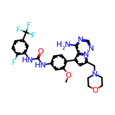 COc1cc(NC(=O)Nc2cc(C(F)(F)F)ccc2F)ccc1-c1cc(CN2CCOCC2)n2ncnc(N)c12